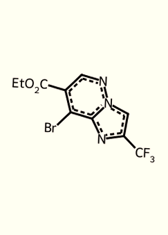 CCOC(=O)c1cnn2cc(C(F)(F)F)nc2c1Br